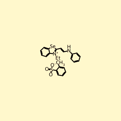 CC[n+]1c(C=CNc2ccccc2)[se]c2ccccc21.Cc1ccccc1S(=O)(=O)[O-]